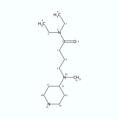 CCN(CC)C(=O)CCCN(C)C1CC[N]CC1